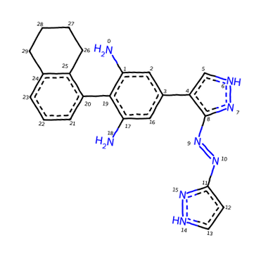 Nc1cc(-c2c[nH]nc2N=Nc2cc[nH]n2)cc(N)c1-c1cccc2c1CCCC2